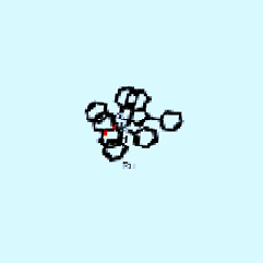 C1=C(c2ccccc2)c2ccccc2C1([PH](c1ccccc1)(c1ccccc1)c1ccccc1)[PH](c1ccccc1)(c1ccccc1)c1ccccc1.[Ru]